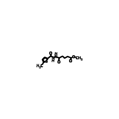 COC(=O)CCCC(=O)NNC(=O)c1ccc(C)s1